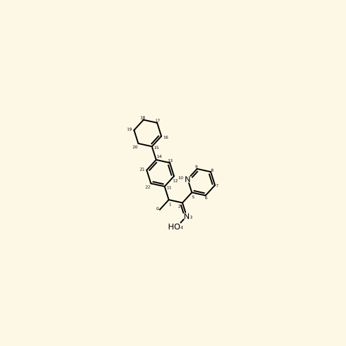 CC(C(=NO)c1ccccn1)c1ccc(C2=CCCCC2)cc1